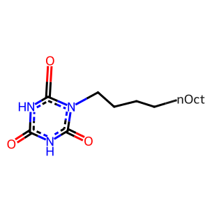 CCCCCCCCCCCCn1c(=O)[nH]c(=O)[nH]c1=O